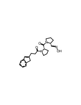 O=C([C@H]1CCCN1C(=O)CCC1=Cc2ccccc2C1)N1CCC[C@H]1C=NO